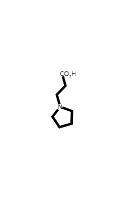 O=C(O)CCN1C[CH]CC1